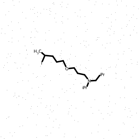 CC(C)CN(CCCOCCCC(C)I)C(C)C